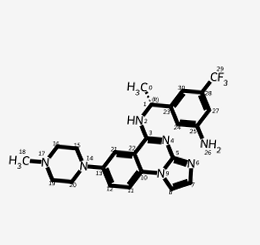 C[C@@H](Nc1nc2nccn2c2ccc(N3CCN(C)CC3)cc12)c1cc(N)cc(C(F)(F)F)c1